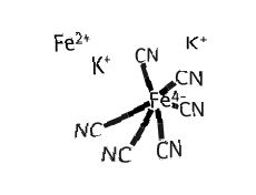 N#[C][Fe-4]([C]#N)([C]#N)([C]#N)([C]#N)[C]#N.[Fe+2].[K+].[K+]